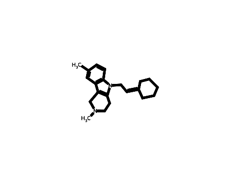 Cc1ccc2c(c1)c1c(n2CC=C2CCCCC2)CCN(C)C1